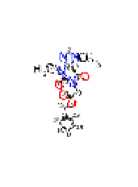 Cn1cnc2c1c(=O)n(CC(=O)OCc1ccccc1)c(=O)n2C